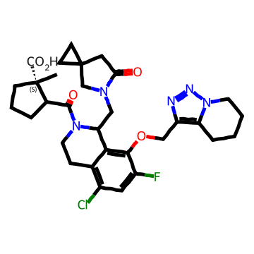 C[C@]1(C(=O)O)CCCC1C(=O)N1CCc2c(Cl)cc(F)c(OCc3nnn4c3CCCC4)c2C1CN1CC2(CC2)CC1=O